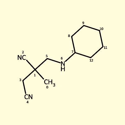 CC(C#N)(CC#N)CNC1CCCCC1